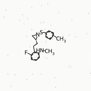 CNc1cccc(F)c1CC[C@H]1CN1Sc1ccc(C)cc1